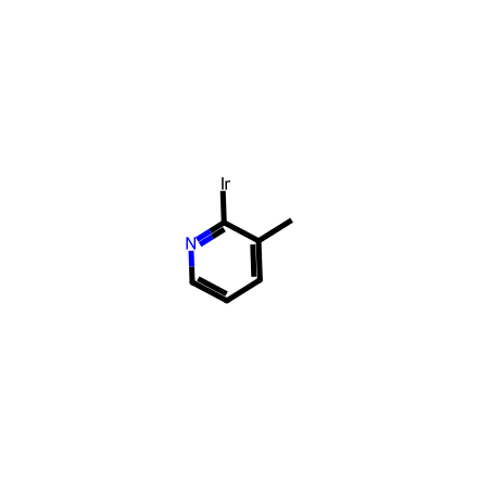 Cc1cccn[c]1[Ir]